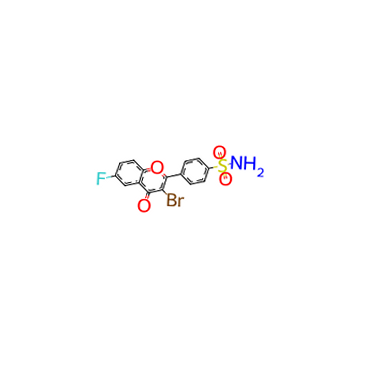 NS(=O)(=O)c1ccc(-c2oc3ccc(F)cc3c(=O)c2Br)cc1